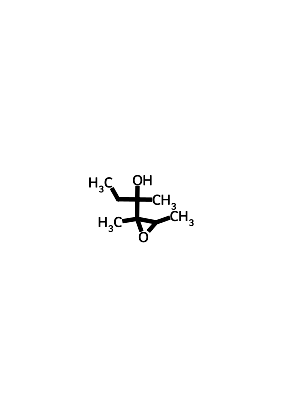 CCC(C)(O)C1(C)OC1C